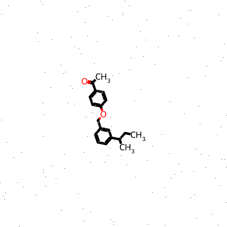 CCC(C)c1cccc(COc2ccc(C(C)=O)cc2)c1